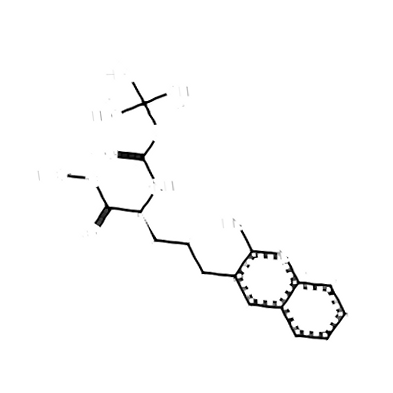 COC(=O)[C@H](CCCc1cc2ccccc2nc1N)NC(=O)OC(C)(C)C